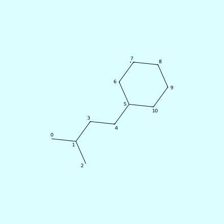 CC(C)CCC1C[CH]CCC1